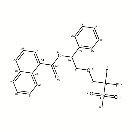 CS(=O)(=O)C(F)(F)COCC(OC(=O)c1cccc2ccccc12)c1ccccc1